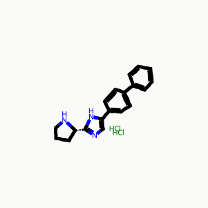 Cl.Cl.c1ccc(-c2ccc(-c3cnc([C@@H]4CCCN4)[nH]3)cc2)cc1